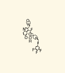 COc1ccc2ncc(CN3CCOCC3)c(C(F)CCC3(C(=O)O)CCN(CC#Cc4cc(F)c(F)c(F)c4)CC3)c2c1